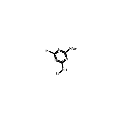 CCNc1nc(S)nc(NC)n1